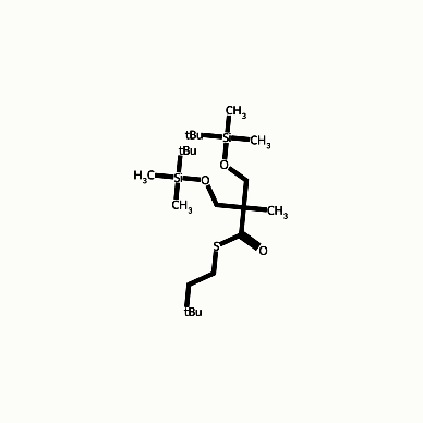 CC(C)(C)CCSC(=O)C(C)(CO[Si](C)(C)C(C)(C)C)CO[Si](C)(C)C(C)(C)C